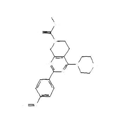 CNC(=S)N1CCc2c(nc(-c3ccc(N=O)cc3)nc2N2CCOCC2)C1